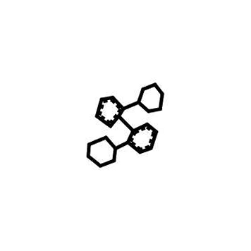 c1ccc(C2CCCCC2)c(-c2ccccc2C2CCCCC2)c1